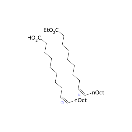 CCCCCCCC/C=C\CCCCCCCC(=O)O.CCCCCCCC/C=C\CCCCCCCC(=O)OCC